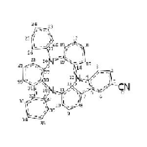 N#Cc1ccc2c(c1)c1cccc3c1n2c1ccccc1n(-c1ccccc1)c1cccc2c4ccccc4n3c21